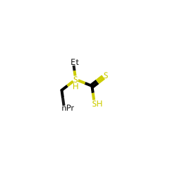 CCCC[SH](CC)C(=S)S